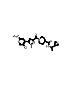 COc1cc(-c2cc(C(=O)N3CCC(C(=O)NC(C)C4COC4)CC3)n[nH]2)c(Cl)cn1